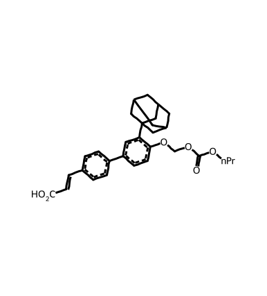 CCCOC(=O)OCOc1ccc(-c2ccc(/C=C/C(=O)O)cc2)cc1C12CC3CC(CC(C3)C1)C2